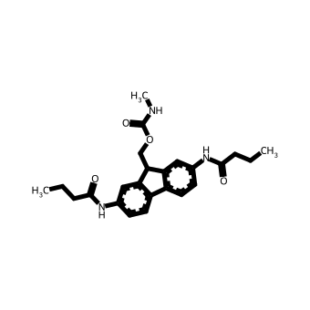 CCCC(=O)Nc1ccc2c(c1)C(COC(=O)NC)c1cc(NC(=O)CCC)ccc1-2